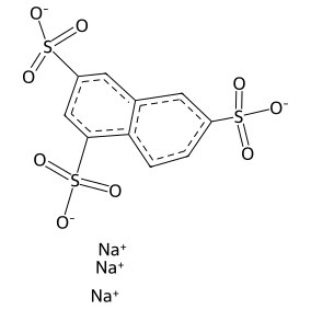 O=S(=O)([O-])c1ccc2c(S(=O)(=O)[O-])cc(S(=O)(=O)[O-])cc2c1.[Na+].[Na+].[Na+]